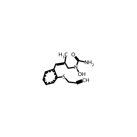 C#CCSc1ccccc1C=C(C)CN(O)C(N)=O